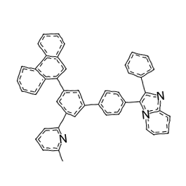 Cc1cccc(-c2cc(-c3ccc(-c4c(-c5ccccc5)nc5ccccn45)cc3)cc(-c3cc4ccccc4c4ccccc34)c2)n1